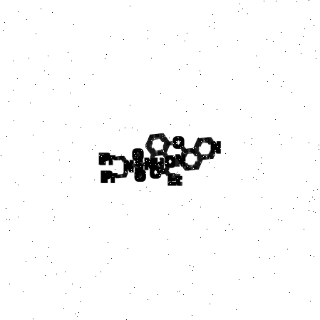 CCC(=O)Oc1c(NS(=O)(=O)N(CC(C)C)CC(C)C)cccc1Oc1nccc2cnccc12